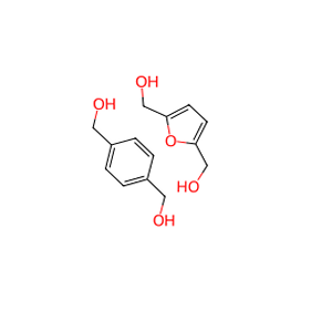 OCc1ccc(CO)cc1.OCc1ccc(CO)o1